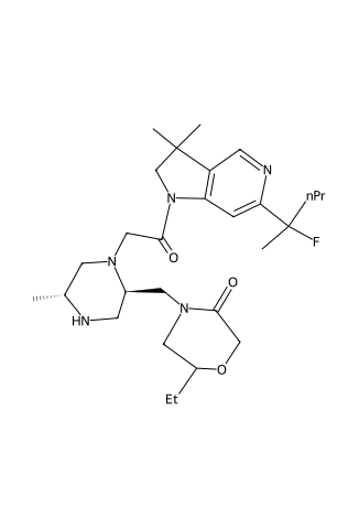 CCCC(C)(F)c1cc2c(cn1)C(C)(C)CN2C(=O)CN1C[C@@H](C)NC[C@@H]1CN1CC(CC)OCC1=O